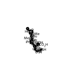 CC[C@H](C)[C@@H]([C@@H](CC(=O)N1CCC[C@H]1[C@H](OC)[C@@H](C)C(=O)N[C@H](C)[C@@H](O)c1ccccc1)OC)N(C)C(=O)[C@@H](NC(=O)[C@H](C(C)C)N(C)C(=O)OCc1ccc(NC(=O)[C@H](C)NC(=O)[C@@H](NC(=O)[C@H](N)C(C)(C)S)C(C)C)c(O[C@@H]2O[C@H](C(=O)O)[C@@H](O)[C@H](O)[C@H]2O)c1)C(C)C